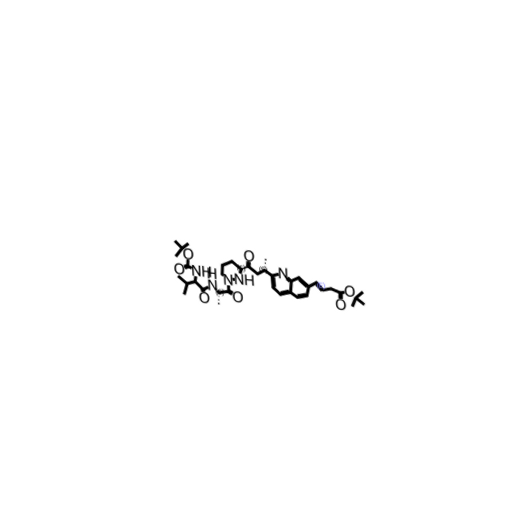 CC(C)C(NC(=O)OC(C)(C)C)C(=O)N[C@@H](C)C(=O)N1CCC[C@@H](C(=O)C[C@H](C)c2ccc3ccc(/C=C/CC(=O)OC(C)(C)C)cc3n2)N1